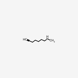 C#CCCCCCNC